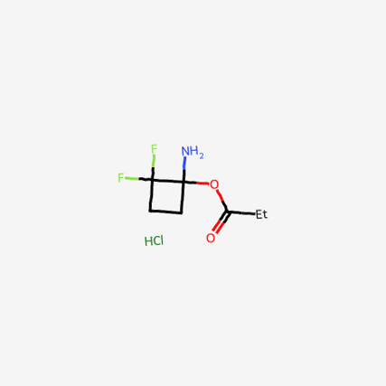 CCC(=O)OC1(N)CCC1(F)F.Cl